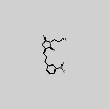 NCCN1C(=O)S/C(=C/CCc2cccc([N+](=O)[O-])c2)C1=O